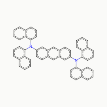 c1ccc2c(N(c3ccc4cc5cc(N(c6cccc7ccccc67)c6cccc7ccccc67)ccc5cc4c3)c3cccc4ccccc34)cccc2c1